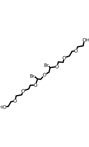 OCCOCCOCCOC(Br)COCC(Br)OCCOCCOCCO